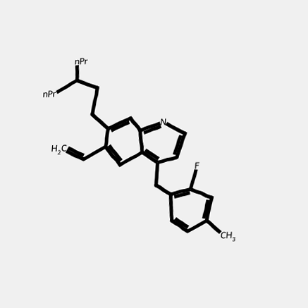 C=Cc1cc2c(Cc3ccc(C)cc3F)ccnc2cc1CCC(CCC)CCC